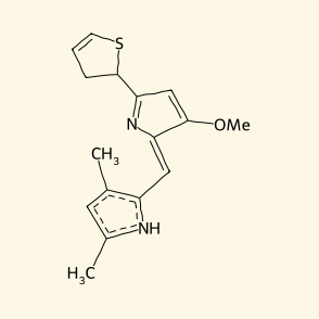 COC1=CC(C2CC=CS2)=N/C1=C\c1[nH]c(C)cc1C